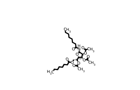 CCCCCCCC(=O)N[C@@H]1O[C@@H]([C@@H](COC(=O)CCCCCCC)OC(C)=O)[C@H](OC(C)=O)[C@@H]1OC(C)=O